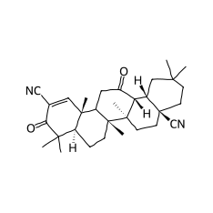 CC1(C)CC[C@]2(C#N)CC[C@]3(C)[C@H](C(=O)CC4[C@@]5(C)C=C(C#N)C(=O)C(C)(C)[C@@H]5CC[C@]43C)[C@@H]2C1